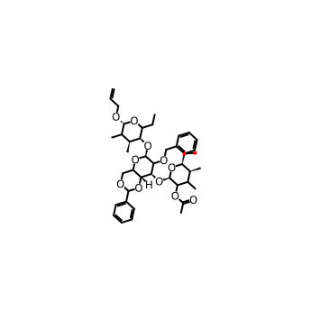 C=CCO[C@@H]1OC(CC)[C@@H](O[C@@H]2OC3COC(c4ccccc4)O[C@H]3[C@H](O[C@H]3O[C@@H](CC)[C@@H](C)C(C)C3OC(C)=O)C2OCc2ccccc2)[C@@H](C)C1C